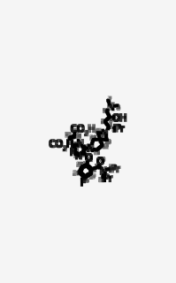 CC(C)[C@@H](C[C@H](O)CN(C)C)N1CC2(CCN(c3ncnnc3Oc3ccc(F)cc3C(=O)N(C(C)C)C(C)C)C2)C1.O=C(O)/C=C/C(=O)O